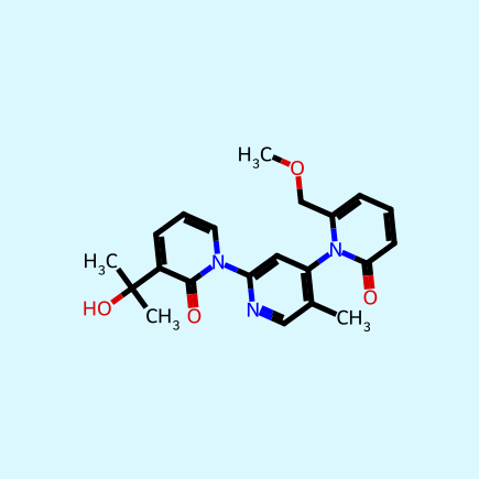 COCc1cccc(=O)n1-c1cc(-n2cccc(C(C)(C)O)c2=O)ncc1C